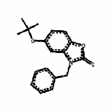 CC(C)(C)Oc1ccc2oc(=O)n(Cc3ccccc3)c2c1